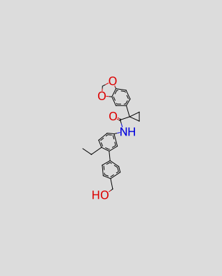 CCc1ccc(NC(=O)C2(c3ccc4c(c3)OCO4)CC2)cc1-c1ccc(CO)cc1